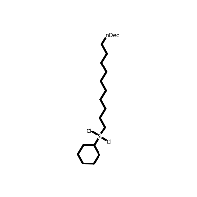 CCCCCCCCCCCCCCCCCCCC[Si](Cl)(Cl)C1CCCCC1